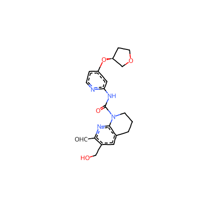 O=Cc1nc2c(cc1CO)CCCN2C(=O)Nc1cc(O[C@H]2CCOC2)ccn1